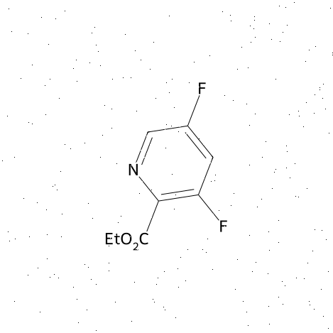 CCOC(=O)c1ncc(F)cc1F